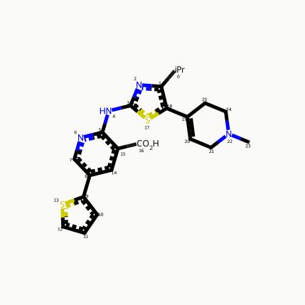 CC(C)c1nc(Nc2ncc(-c3cccs3)cc2C(=O)O)sc1C1=CCN(C)CC1